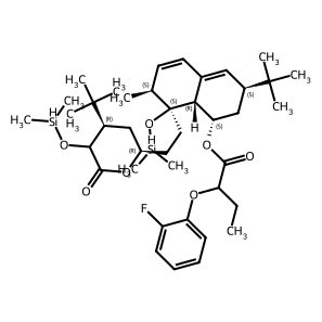 CCC(Oc1ccccc1F)C(=O)O[C@H]1C[C@H](C(C)(C)C)C=C2C=C[C@H](C)[C@](CC[C@@H]3C[C@H](C(C)(C)C)C(O[SiH](C)C)C(=O)O3)(O[SiH](C)C)[C@H]21